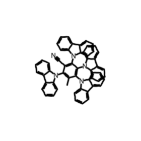 Cc1c(-n2c3ccccc3c3ccccc32)c(C#N)c(-n2c3ccccc3c3ccccc32)c(-n2c3ccccc3c3ccccc32)c1-n1c2ccccc2c2ccccc21